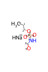 CCCOS(=O)(=O)NC=O.[NaH]